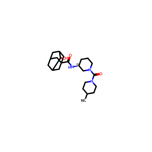 N#CC1CCN(C(=O)N2CCC[C@H](NC(=O)C34CC5CC(C3)C(O)C(C5)C4)C2)CC1